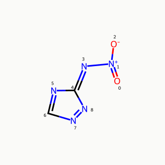 O=[N+]([O-])N=C1N=CN=N1